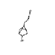 CCCC1CC2CC1CC2CN=C=O